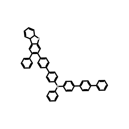 C1=CC2Sc3cc(-c4ccc(-c5ccc(N(c6ccccc6)c6ccc(-c7ccc(-c8ccccc8)cc7)cc6)cc5)cc4)c(-c4ccccc4)cc3C2C=C1